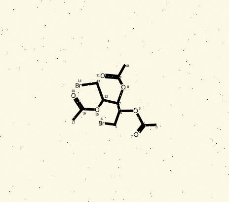 CC(=O)OC(CBr)C(OC(C)=O)C(CBr)OC(C)=O